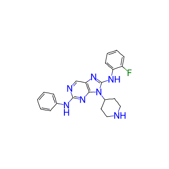 Fc1ccccc1Nc1nc2cnc(Nc3ccccc3)nc2n1C1CCNCC1